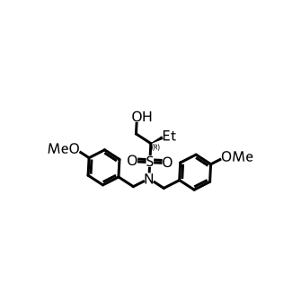 CC[C@H](CO)S(=O)(=O)N(Cc1ccc(OC)cc1)Cc1ccc(OC)cc1